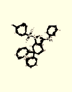 Cc1ccc(S(=O)(=O)n2nc(Nc3ccccc3)c3c2CC(c2ccccc2)(c2ccccn2)C=C3)cc1